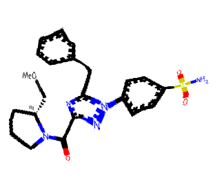 COC[C@H]1CCCN1C(=O)c1nc(Cc2ccccc2)n(-c2ccc(S(N)(=O)=O)cc2)n1